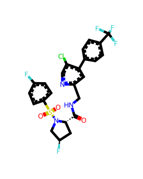 O=C(NCc1cc(-c2ccc(C(F)(F)F)cc2)c(Cl)cn1)[C@@H]1C[C@@H](F)CN1S(=O)(=O)c1ccc(F)cc1